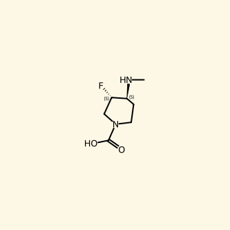 CN[C@H]1CCN(C(=O)O)C[C@@H]1F